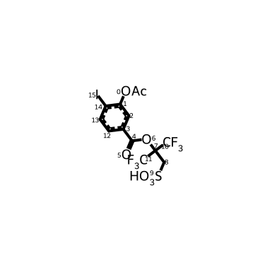 CC(=O)Oc1cc(C(=O)OC(CS(=O)(=O)O)(C(F)(F)F)C(F)(F)F)ccc1I